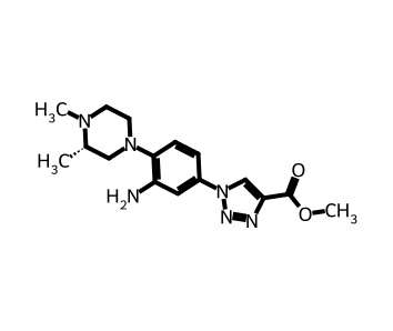 COC(=O)c1cn(-c2ccc(N3CCN(C)[C@@H](C)C3)c(N)c2)nn1